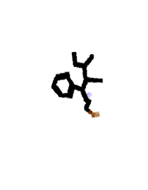 CCC(C)C(C)/C(=C/CS)c1ccccc1